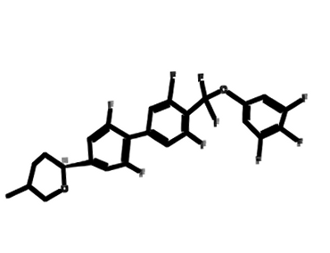 CC1CC[C@@H](c2cc(F)c(-c3cc(F)c(C(F)(F)Oc4cc(F)c(F)c(F)c4)c(F)c3)c(F)c2)OC1